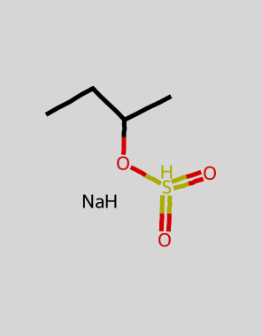 CCC(C)O[SH](=O)=O.[NaH]